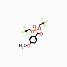 COc1ccc(C(=O)P(=O)(OCC(F)(F)F)OCC(F)(F)F)cc1